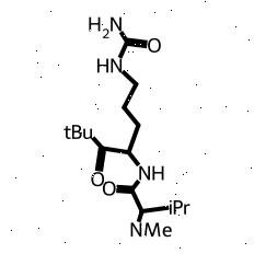 CNC(C(=O)NC(CCCNC(N)=O)C(=O)C(C)(C)C)C(C)C